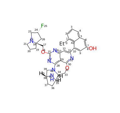 CCc1cccc2cc(O)cc(-c3cc4nc(OC[C@@]56CCCN5C[C@H](F)C6)nc5c4c(n3)OC[C@@H]3[C@@H]4CC[C@H](CN53)N4)c12